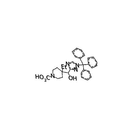 CCC1(C(O)c2ncn(C(c3ccccc3)(c3ccccc3)c3ccccc3)n2)CCN(C(=O)O)CC1